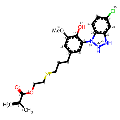 C=C(C)C(=O)OCCSCCCc1cc(OC)c(O)c(N2NNc3cc(Cl)ccc32)c1